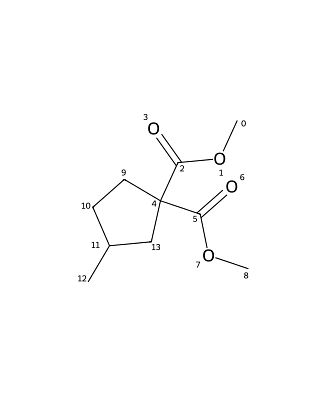 COC(=O)C1(C(=O)OC)CCC(C)C1